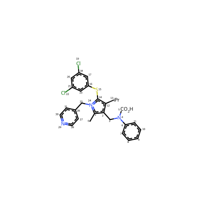 Cc1c(CN(C(=O)O)c2ccccc2)c(C(C)C)c(Sc2cc(Cl)cc(Cl)c2)n1Cc1ccncc1